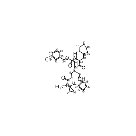 CN(C(=O)CCC(CO)NC(=O)C(CC1CCCCC1)NC(=O)OCc1cccc(Cl)c1)C1(Cc2ccccc2)CC1